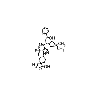 CC1(C(=O)O)CCC(n2ncc(C(=O)N(CC(O)c3ccccn3)C3CC4C(C3)C4(C)C)c2C(F)(F)F)CC1